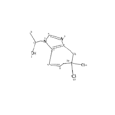 CC(O)n1cnc2c1C=CC(Cl)(Cl)C2